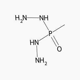 CP(=O)(NN)NN